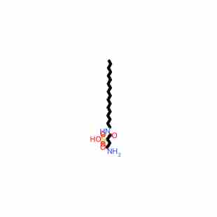 CCCCCCCCCCCCCCCCCCNC(=O)C(CC(N)=O)S(=O)(=O)O